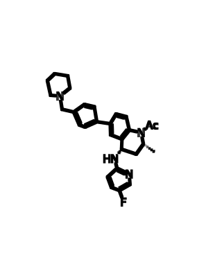 CC(=O)N1c2ccc(-c3ccc(CN4CCCCC4)cc3)cc2[C@@H](Nc2ccc(F)cn2)C[C@H]1C